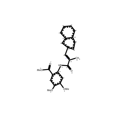 COC(=O)c1cc(OC)c(OC)cc1NC(=O)/C(C)=C/c1ccc2ccccc2c1